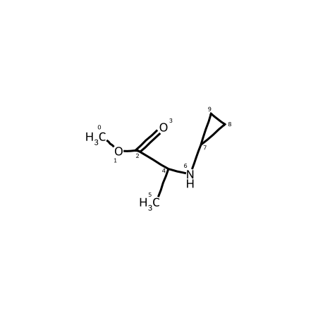 COC(=O)C(C)NC1CC1